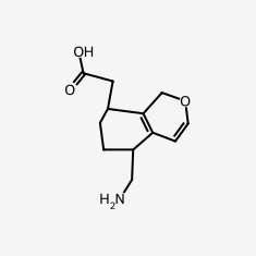 NCC1CCC(CC(=O)O)C2=C1C=COC2